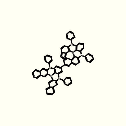 c1ccc(N2c3cc4ccccc4cc3B3c4cc5ccccc5cc4N(c4ccccc4)c4cc(-c5ccc6c7c(ccc6c5)N(c5ccccc5)c5cccc6c5B7c5c(ccc7ccccc57)N6c5ccccc5)cc2c43)cc1